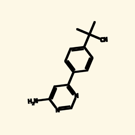 CC(C)(C#N)c1ccc(-c2cc(N)ncn2)cc1